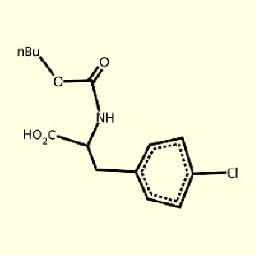 CCCCOC(=O)NC(Cc1ccc(Cl)cc1)C(=O)O